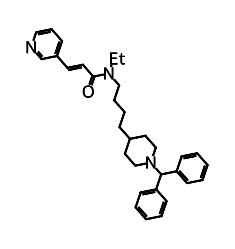 CCN(CCCCC1CCN(C(c2ccccc2)c2ccccc2)CC1)C(=O)C=Cc1cccnc1